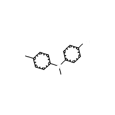 Cc1ccc(N(C)c2ccc(O)cc2)cc1